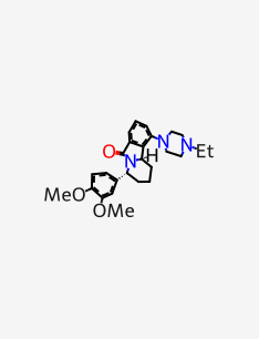 CCN1CCN(c2cccc3c2[C@H]2CCC[C@H](c4ccc(OC)c(OC)c4)N2C3=O)CC1